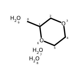 CC1COCCO1.O.O.O